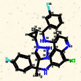 BC(Nc1cc(Cl)c2ncc(C#N)c(N[C@H](CC)c3cccc(F)c3)c2c1)(C1=CN(C2CC2)NN1)c1ccc(F)cc1